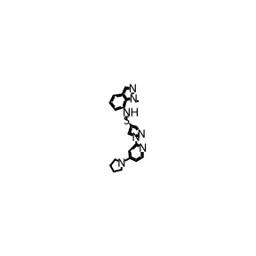 Cn1ncc2cccc(NSc3cnn(-c4cc(N5CCCC5)ccn4)c3)c21